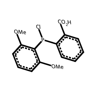 COc1cccc(OC)c1P(Cl)c1ccccc1C(=O)O